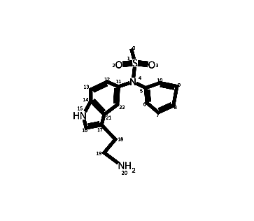 CS(=O)(=O)N(c1ccccc1)c1ccc2[nH]cc(CCN)c2c1